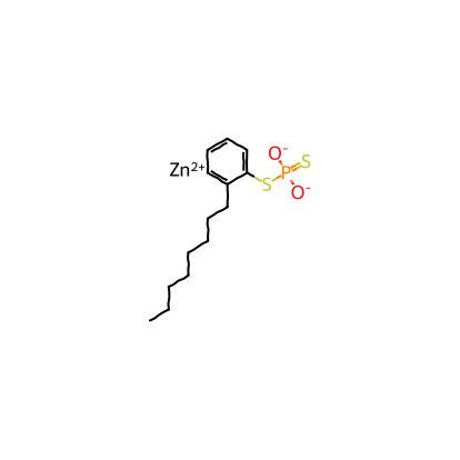 CCCCCCCCc1ccccc1SP([O-])([O-])=S.[Zn+2]